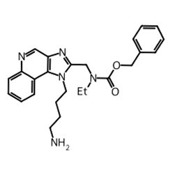 CCN(Cc1nc2cnc3ccccc3c2n1CCCCN)C(=O)OCc1ccccc1